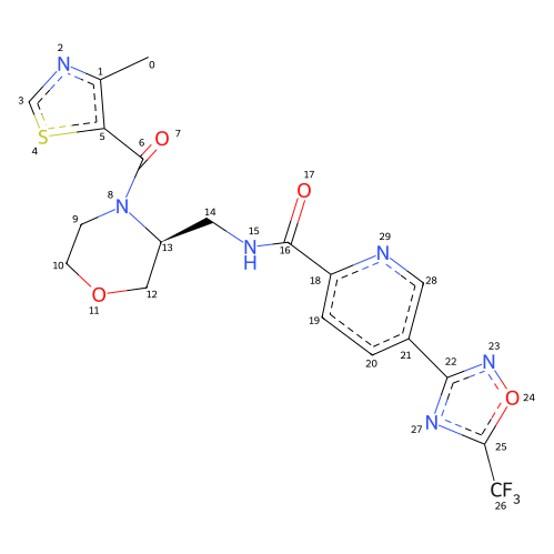 Cc1ncsc1C(=O)N1CCOC[C@@H]1CNC(=O)c1ccc(-c2noc(C(F)(F)F)n2)cn1